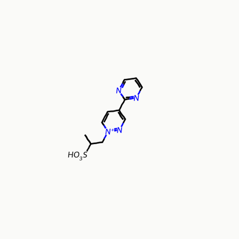 CC(C[n+]1ccc(-c2ncccn2)cn1)S(=O)(=O)O